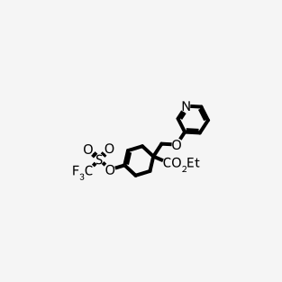 CCOC(=O)C1(COc2cccnc2)CC=C(OS(=O)(=O)C(F)(F)F)CC1